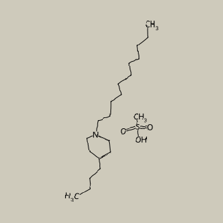 CCCCCCCCCCCN1CCC(CCCC)CC1.CS(=O)(=O)O